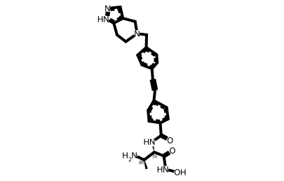 C[C@@H](N)[C@H](NC(=O)c1ccc(C#Cc2ccc(CN3CCc4[nH]ncc4C3)cc2)cc1)C(=O)NO